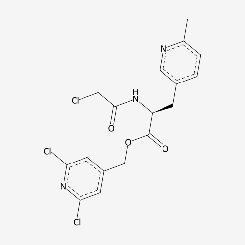 Cc1ccc(C[C@H](NC(=O)CCl)C(=O)OCc2cc(Cl)nc(Cl)c2)cn1